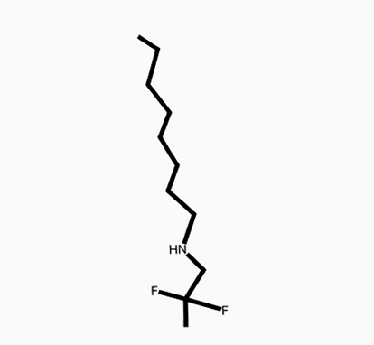 CCCCCCCCNCC(C)(F)F